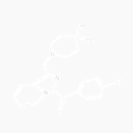 O=C(c1ccc(Cl)cc1)c1nc(CN2CCS(O)(O)CC2)c2ccccn12